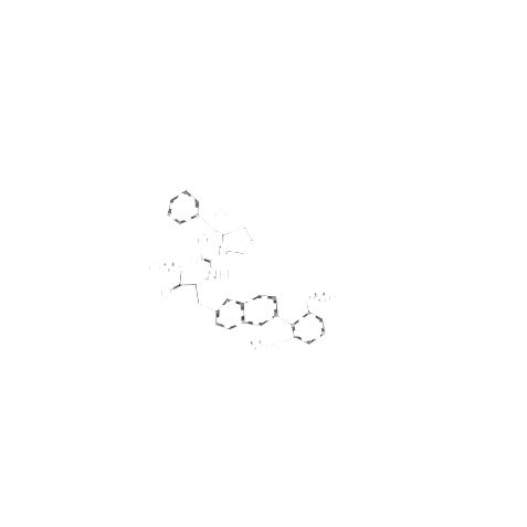 COC(=O)C(Cc1ccc2cc(-c3c(OC)cccc3OC)ccc2c1)NC(=O)N1CCC[C@@H]1S(=O)(=O)c1ccccc1